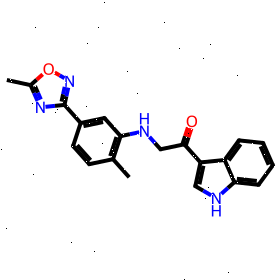 Cc1nc(-c2ccc(C)c(NCC(=O)c3c[nH]c4ccccc34)c2)no1